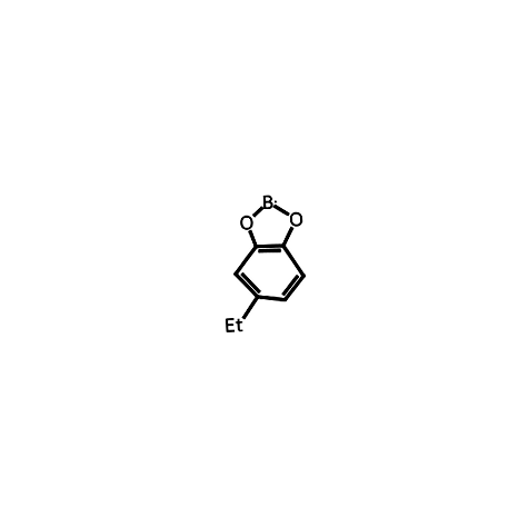 CCc1ccc2c(c1)O[B]O2